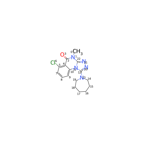 Cn1c(=O)c2c(Cl)cccc2n2c(N3CCCCCC3)nnc12